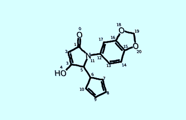 O=C1[C]=C(O)C(C2C=CC=C2)N1c1ccc2c(c1)OCO2